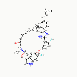 CN1CC(=O)CCCCCC(C)(c2cccc(CCC(=O)O)c2)c2cnc([nH]2)-c2cc(ccc2F)Oc2c(F)cc3[nH]ccc3c2CC1=O